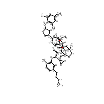 COCCc1ccc(Cl)c(CN(C(=O)[C@@H]2[C@@H](c3ccc(N4CCC(Oc5c(Cl)cc(C)cc5Cl)C4)nc3)C[C@@H]3CC[C@H]2N3C(=O)OC(C)(C)C)C2CC2)c1